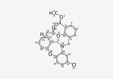 COC(=O)c1cccc(CN2Cc3ccccc3Oc3ccc(Cl)cc32)c1OC(C)=O